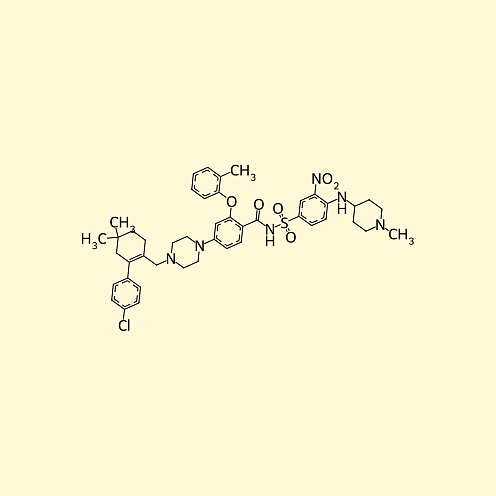 Cc1ccccc1Oc1cc(N2CCN(CC3=C(c4ccc(Cl)cc4)CC(C)(C)CC3)CC2)ccc1C(=O)NS(=O)(=O)c1ccc(NC2CCN(C)CC2)c([N+](=O)[O-])c1